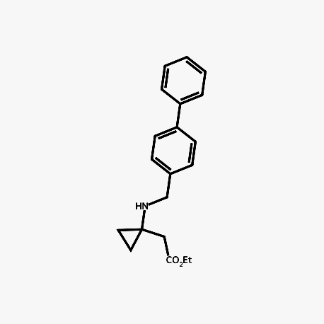 CCOC(=O)CC1(NCc2ccc(-c3ccccc3)cc2)CC1